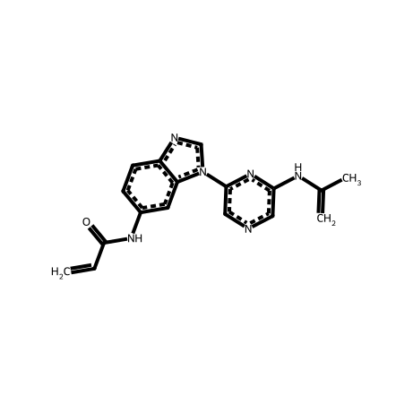 C=CC(=O)Nc1ccc2ncn(-c3cncc(NC(=C)C)n3)c2c1